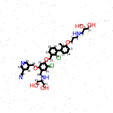 Cc1c(OCCCNC[C@H](O)CO)cccc1-c1cccc(COc2cc(OCc3cncc(C#N)c3)c(CNC(CO)CO)cc2Cl)c1Cl